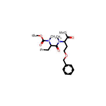 COC(=O)C(CCOCc1ccccc1)N(C)C(=O)C(CC(C)C)N(C)C(=O)OC(C)(C)C